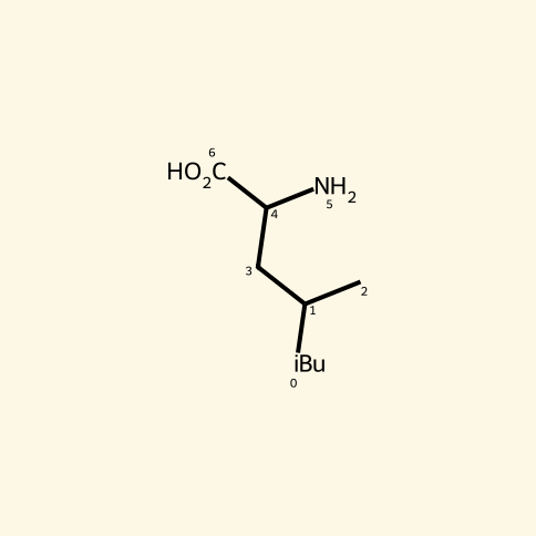 CCC(C)C(C)CC(N)C(=O)O